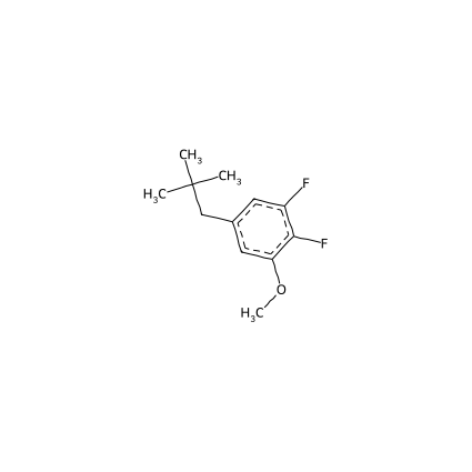 COc1cc(CC(C)(C)C)cc(F)c1F